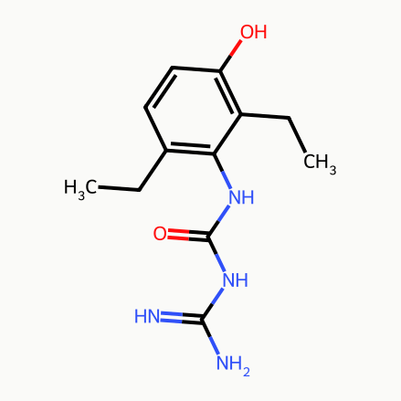 CCc1ccc(O)c(CC)c1NC(=O)NC(=N)N